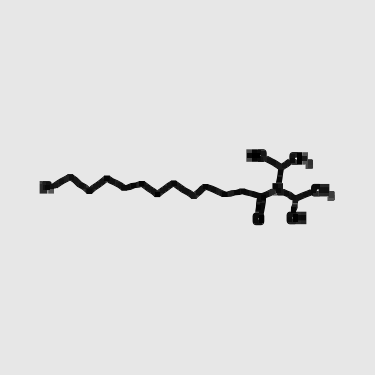 CC(C)CCCCCCCCCCCC(=O)N(C(C)O)C(C)O